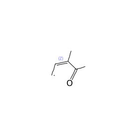 [CH2]/C=C(/C)C(C)=O